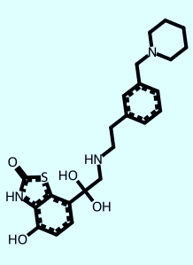 O=c1[nH]c2c(O)ccc(C(O)(O)CNCCc3cccc(CN4CCCCC4)c3)c2s1